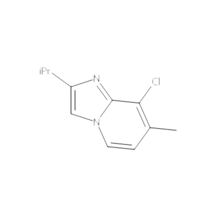 Cc1ccn2cc(C(C)C)nc2c1Cl